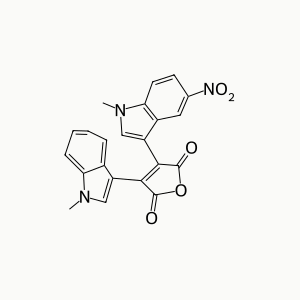 Cn1cc(C2=C(c3cn(C)c4ccc([N+](=O)[O-])cc34)C(=O)OC2=O)c2ccccc21